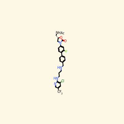 CC(=O)NC[C@H]1CN(c2ccc(-c3ccc(CNCCCNc4ncc(C(F)(F)F)cc4Cl)cc3)c(F)c2)C(=O)O1